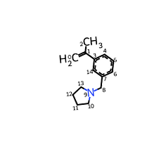 C=C(C)c1cccc(CN2CCCC2)c1